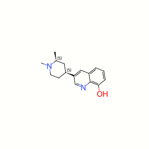 C[C@H]1C[C@@H](c2cnc3c(O)cccc3c2)CCN1C